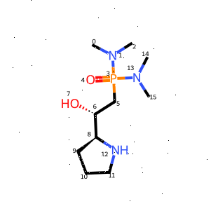 CN(C)P(=O)(C[C@@H](O)[C@@H]1CCCN1)N(C)C